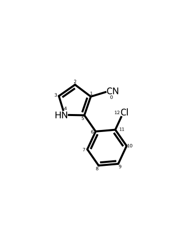 N#Cc1cc[nH]c1-c1ccccc1Cl